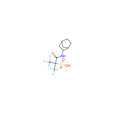 O=C(NC1CC2CCC1C2)C(C(F)(F)F)(C(F)(F)F)S(=O)(=O)O